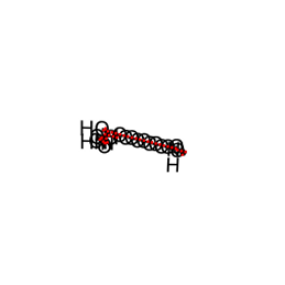 Cc1cc(OCCOCCOCCOCCOCCOCCOCCOCCOCCNC(=O)OCc2ccccc2)cc(C)c1Oc1ccc(C(C)(C)O)cc1-c1cn(C)c(=O)c2[nH]c(C(=O)O)cc12